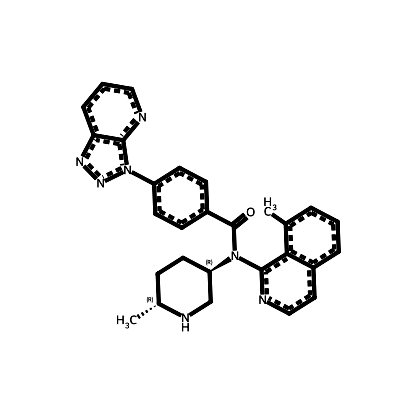 Cc1cccc2ccnc(N(C(=O)c3ccc(-n4nnc5cccnc54)cc3)[C@@H]3CC[C@@H](C)NC3)c12